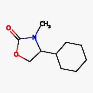 CN1C(=O)OCC1C1CCCCC1